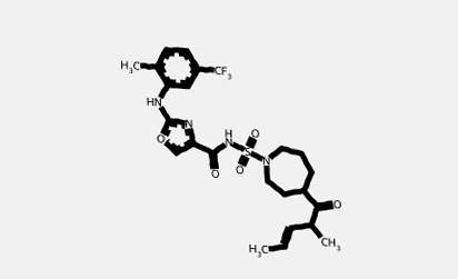 C/C=C/C(C)C(=O)C1CCCN(S(=O)(=O)NC(=O)c2coc(Nc3cc(C(F)(F)F)ccc3C)n2)CC1